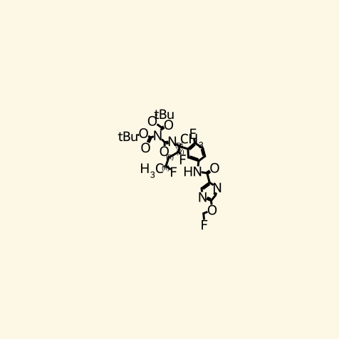 C[C@@H](F)[C@H]1OC(N(C(=O)OC(C)(C)C)C(=O)OC(C)(C)C)=N[C@](C)(c2cc(NC(=O)c3cnc(OCF)cn3)ccc2F)[C@H]1F